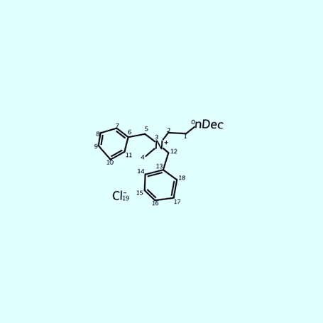 CCCCCCCCCCCC[N+](C)(Cc1ccccc1)Cc1ccccc1.[Cl-]